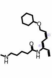 C=C/C(=C\C=C/COC1CCCCC1)NC(=O)CCCCNC